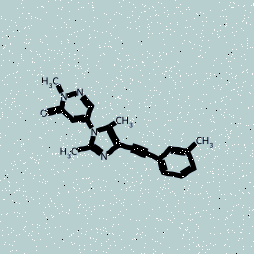 Cc1cccc(C#Cc2nc(C)n(-c3cnn(C)c(=O)c3)c2C)c1